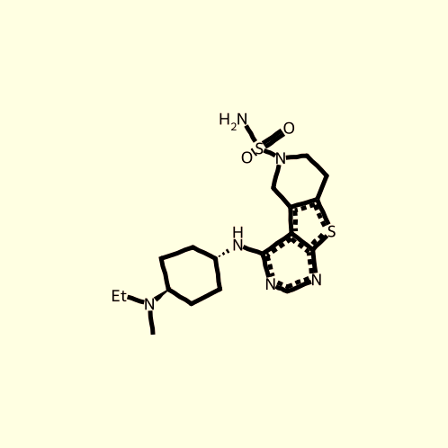 CCN(C)[C@H]1CC[C@H](Nc2ncnc3sc4c(c23)CN(S(N)(=O)=O)CC4)CC1